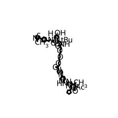 CC(=O)c1c(C)c2cnc(Nc3ccc(N4CCN(C(=O)COCCOCCOCC(=O)NC(C(=O)N5C[C@H](O)C[C@H]5C(=O)NCc5ccc(-c6scnc6C)cc5)C(C)(C)C)CC4)cn3)nc2n(C2CCCC2)c1=O